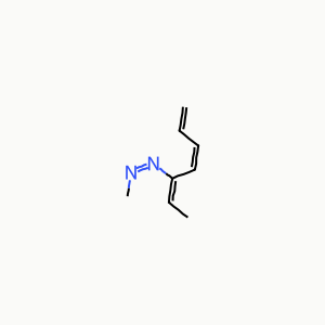 C=C\C=C/C(=C\C)/N=N\C